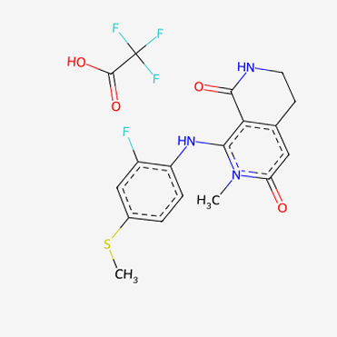 CSc1ccc(Nc2c3c(cc(=O)n2C)CCNC3=O)c(F)c1.O=C(O)C(F)(F)F